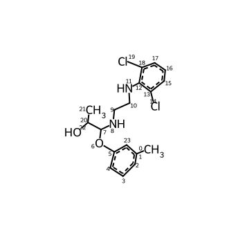 Cc1cccc(OC(NCCNc2c(Cl)cccc2Cl)C(C)O)c1